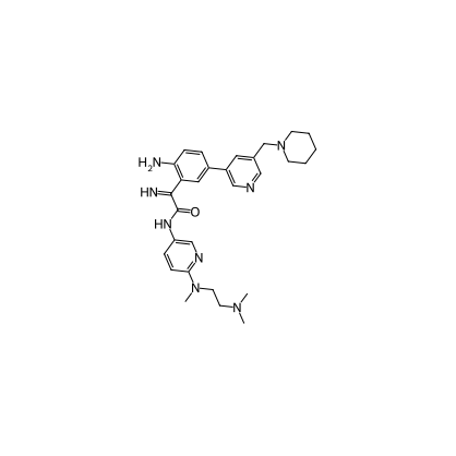 CN(C)CCN(C)c1ccc(NC(=O)C(=N)c2cc(-c3cncc(CN4CCCCC4)c3)ccc2N)cn1